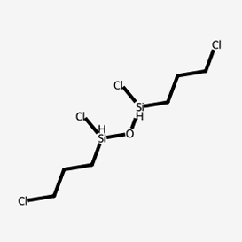 ClCCC[SiH](Cl)O[SiH](Cl)CCCCl